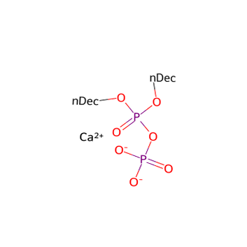 CCCCCCCCCCOP(=O)(OCCCCCCCCCC)OP(=O)([O-])[O-].[Ca+2]